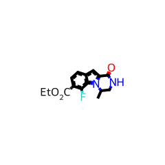 CCOC(=O)c1ccc2cc3n(c2c1F)C(C)CNC3=O